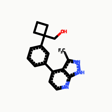 OCC1(c2cccc(-c3ccnc4[nH]nc(C(F)(F)F)c34)c2)CCC1